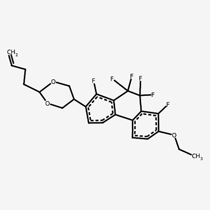 C=CCCC1OCC(c2ccc3c(c2F)C(F)(F)C(F)(F)c2c-3ccc(OCC)c2F)CO1